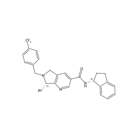 CC(C)[C@H]1c2ncc(C(=O)N[C@@H]3CCc4ccccc43)cc2CN1Cc1ccc(C(F)(F)F)cc1